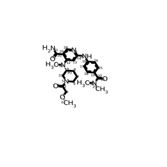 COCC(=O)N1CCC[C@@H](N(C)c2cc(Nc3ccc(C(=O)N(C)C)cc3)ncc2C(N)=O)C1